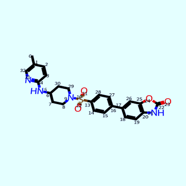 Cc1ccc(NC2CCN(S(=O)(=O)c3ccc(-c4ccc5[nH]c(=O)oc5c4)cc3)CC2)nc1